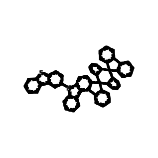 c1ccc2c(c1)-c1ccccc1C21c2ccccc2C2(c3ccccc3-c3c2ccc2c3c3ccccc3n2-c2ccc3sc4ccccc4c3c2)c2ccccc21